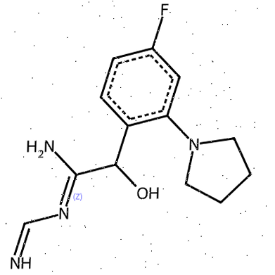 N=C/N=C(\N)C(O)c1ccc(F)cc1N1CCCC1